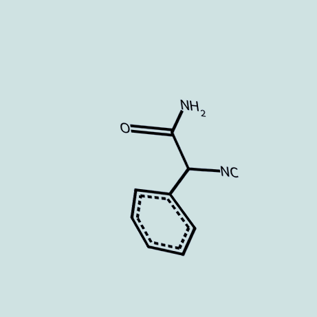 [C-]#[N+]C(C(N)=O)c1ccccc1